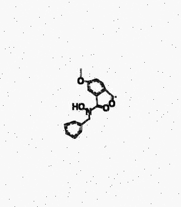 COc1ccc([C]=O)c(C(=O)N(O)Cc2ccccc2)c1